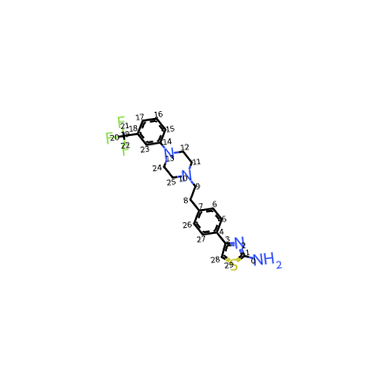 Nc1nc(-c2ccc(CCN3CCN(c4cccc(C(F)(F)F)c4)CC3)cc2)cs1